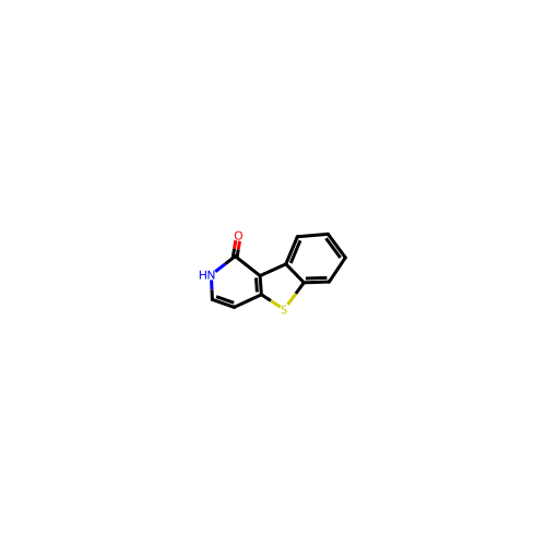 O=c1[nH]ccc2sc3ccccc3c12